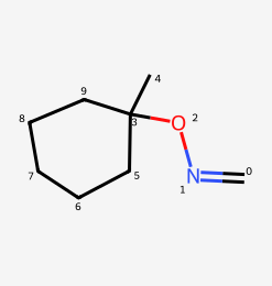 C=NOC1(C)CCCCC1